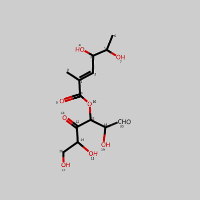 CC(=CC(O)C(C)O)C(=O)OC(C(=O)C(O)CO)C(O)C=O